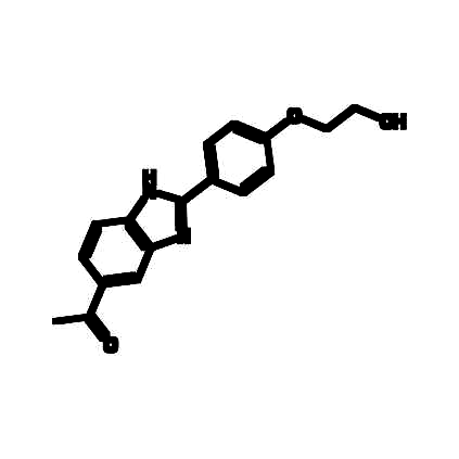 CC(=O)c1ccc2[nH]c(-c3ccc(OCCO)cc3)nc2c1